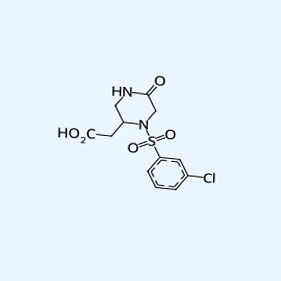 O=C(O)CC1CNC(=O)CN1S(=O)(=O)c1cccc(Cl)c1